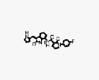 O=C1Nc2c(NC(=O)c3cccn(-c4ccc(F)cc4)c3=O)cccc2/C1=C/c1ccc[nH]1